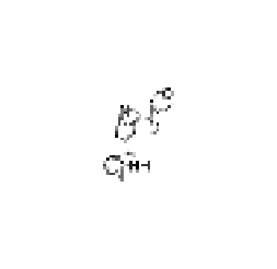 O=C(c1cnn2ccc(-c3c[nH]c4ncccc34)cc12)N1CCOCC1